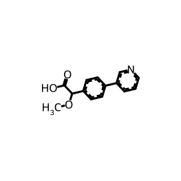 COC(C(=O)O)c1ccc(-c2cccnc2)cc1